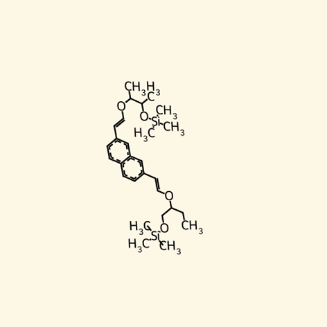 CCC(CO[Si](C)(C)C)OC=Cc1ccc2ccc(C=COC(C)C(C)O[Si](C)(C)C)cc2c1